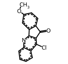 COc1ccc2c(c1)-c1nc3ccccc3c(Cl)c1C2=O